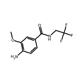 COc1cc(C(=O)NCC(F)(F)F)ccc1N